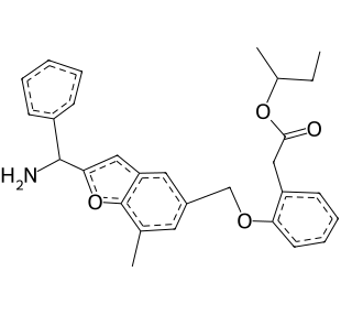 CCC(C)OC(=O)Cc1ccccc1OCc1cc(C)c2oc(C(N)c3ccccc3)cc2c1